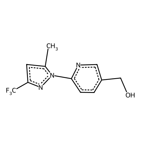 Cc1cc(C(F)(F)F)nn1-c1ccc(CO)cn1